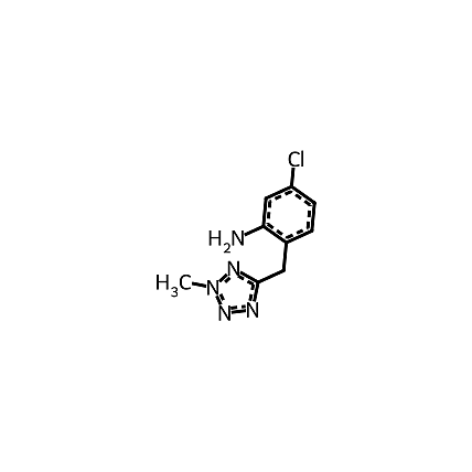 Cn1nnc(Cc2ccc(Cl)cc2N)n1